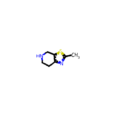 Cc1nc2c(s1)CNCC2